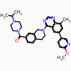 COc1ccc(-c2cc(C)c3ncnc(N4CCc5ccc(C(=O)N6CCN(C(C)C)CC6)cc5C4)c3c2)cn1